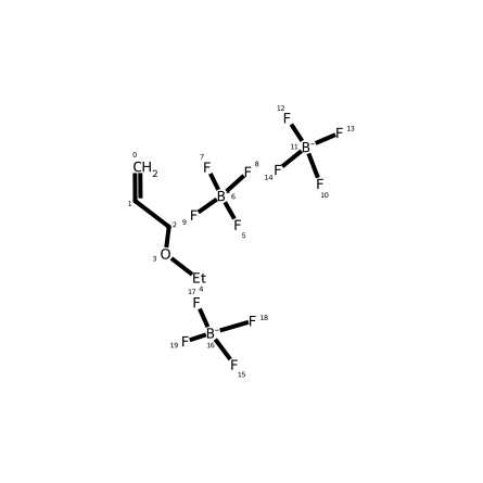 C=CCOCC.F[B-](F)(F)F.F[B-](F)(F)F.F[B-](F)(F)F